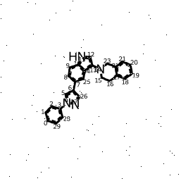 c1ccc(-n2cc(-c3ccc4[nH]cc(N5CCc6ccccc6C5)c4c3)cn2)cc1